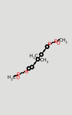 C=CC(=O)OCCCCOc1ccc2cc(C#Cc3cc(C)c(-c4ccc(C#Cc5ccc(OCCCOC(=O)C=C)cc5)cc4)c(C)c3)ccc2c1